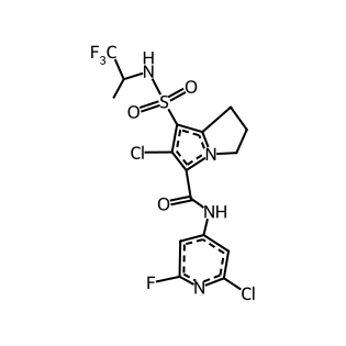 CC(NS(=O)(=O)c1c(Cl)c(C(=O)Nc2cc(F)nc(Cl)c2)n2c1CCC2)C(F)(F)F